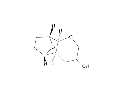 OC1CO[C@H]2[C@@H](C1)[C@@H]1CC[C@H]2O1